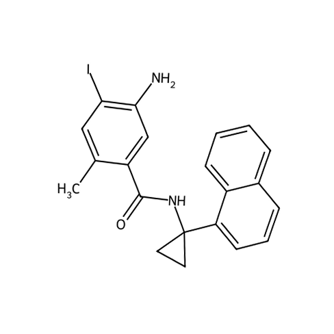 Cc1cc(I)c(N)cc1C(=O)NC1(c2cccc3ccccc23)CC1